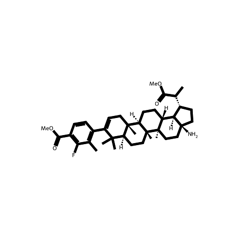 COC(=O)c1ccc(C2=CC[C@]3(C)[C@H]4CC[C@@H]5[C@H]6[C@H](C(C)C(=O)OC)CC[C@]6(N)CC[C@@]5(C)[C@]4(C)CC[C@H]3C2(C)C)c(C)c1F